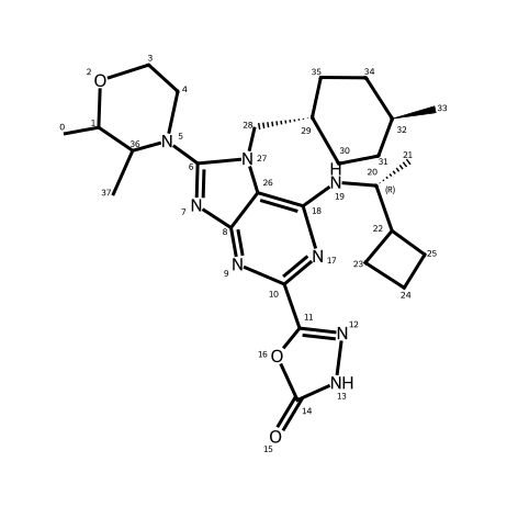 CC1OCCN(c2nc3nc(-c4n[nH]c(=O)o4)nc(N[C@H](C)C4CCC4)c3n2C[C@H]2CC[C@H](C)CC2)C1C